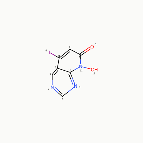 O=c1cc(I)c2cncnc2n1O